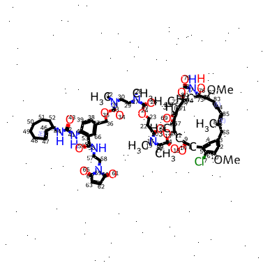 COc1cc2cc(c1Cl)CC(=O)C[C@H](OC(=O)[C@H](C)N(C)C(=O)CCOC(=O)N(C)CCN(C)C(=O)OCc1ccc(NC(=O)NC3/C=C/CCCCC3)c(C(=O)NCCN3C(=O)C=CC3=O)c1)[C@]1(C)O[C@H]1[C@H](C)[C@@H]1C[C@@](O)(NC(=O)O1)[C@H](OC)/C=C/C=C(\C)C2